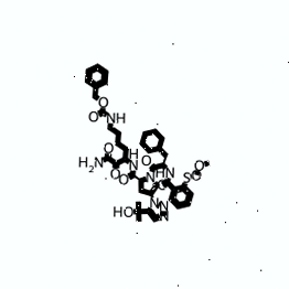 COOSc1ccccc1C(=O)N[C@H](CC1CCCCC1)C(=O)N1C[C@@H](n2nncc2C(C)(C)O)C[C@H]1C(=O)NC(CCCCNC(=O)OCc1ccccc1)C(=O)C(N)=O